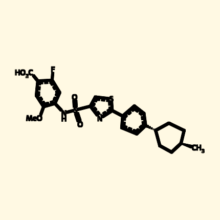 COc1cc(C(=O)O)c(F)cc1NS(=O)(=O)c1csc(-c2ccc([C@H]3CC[C@H](C)CC3)cc2)n1